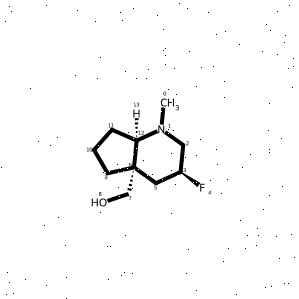 CN1C[C@@H](F)C[C@@]2(CO)CCC[C@@H]12